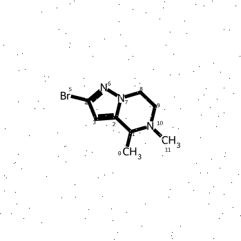 CC1c2cc(Br)nn2CCN1C